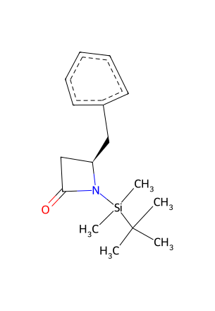 CC(C)(C)[Si](C)(C)N1C(=O)C[C@H]1Cc1ccccc1